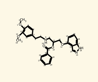 COc1ccc(CCNCC(COc2cccc3[nH]ncc23)OC(=O)c2ccccc2)cc1OC